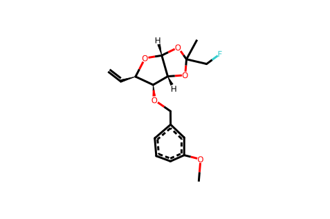 C=C[C@H]1O[C@@H]2OC(C)(CF)O[C@@H]2[C@H]1OCc1cccc(OC)c1